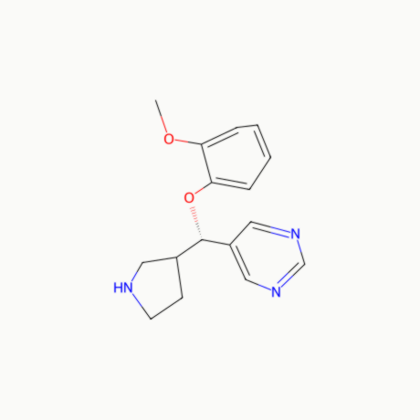 COc1ccccc1O[C@H](c1cncnc1)C1CCNC1